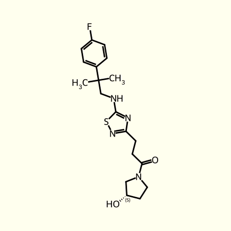 CC(C)(CNc1nc(CCC(=O)N2CC[C@H](O)C2)ns1)c1ccc(F)cc1